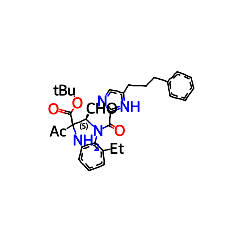 CCc1ccccc1N(C(=O)c1ncc(CCCc2ccccc2)[nH]1)[C@H](C=O)C(N)(C(C)=O)C(=O)OC(C)(C)C